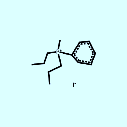 CCC[P+](C)(CCC)c1ccccc1.[I-]